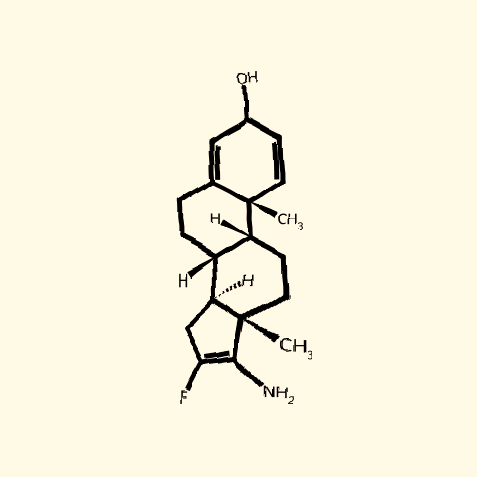 C[C@]12C=CC(O)C=C1CC[C@@H]1[C@H]2CC[C@]2(C)C(N)=C(F)C[C@@H]12